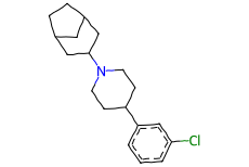 Clc1cccc(C2CCN(C3CC4CCC(C4)C3)CC2)c1